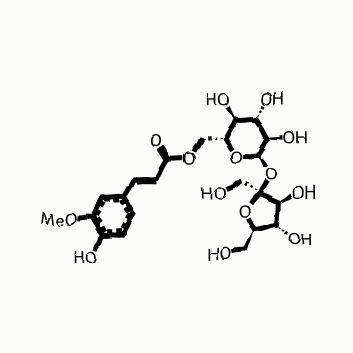 COc1cc(C=CC(=O)OC[C@H]2O[C@H](O[C@]3(CO)O[C@H](CO)[C@@H](O)[C@@H]3O)[C@H](O)[C@@H](O)[C@@H]2O)ccc1O